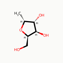 C[C@H]1O[C@H](CO)[C@H](O)[C@H]1O